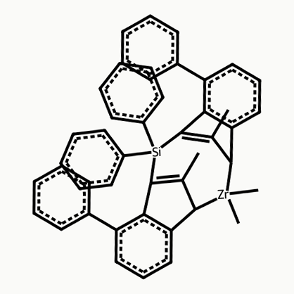 CC1=C2c3c(-c4ccccc4)cccc3[CH]1[Zr]([CH3])([CH3])[CH]1C(C)=C(c3c(-c4ccccc4)cccc31)[Si]2(c1ccccc1)c1ccccc1